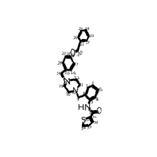 O=C(Nc1ccccc1CN1CCN(Cc2ccc(OCc3ccccc3)cc2)CC1)c1cccs1